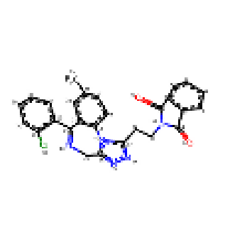 O=C1c2ccccc2C(=O)N1CCc1nnc2n1-c1ccc(C(F)(F)F)cc1C(c1ccccc1Cl)=NC2